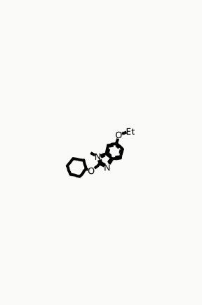 CCOc1ccc2nc(OC3CCCCC3)n(C)c2c1